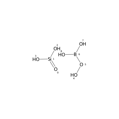 O=[Si](O)O.OOB(O)O